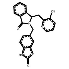 N#Cc1cccnc1CC1c2ccccc2C(=O)N1Cc1ccc2[nH]c(=O)oc2c1